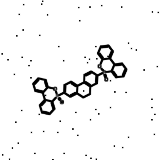 O=P1(c2ccc3c(c2)CCc2cc(P4(=O)Oc5ccccc5-c5ccccc54)ccc2-3)Oc2ccccc2-c2ccccc21